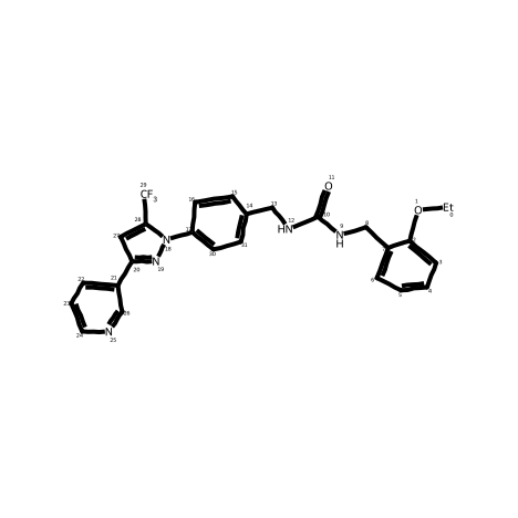 CCOc1ccccc1CNC(=O)NCc1ccc(-n2nc(-c3cccnc3)cc2C(F)(F)F)cc1